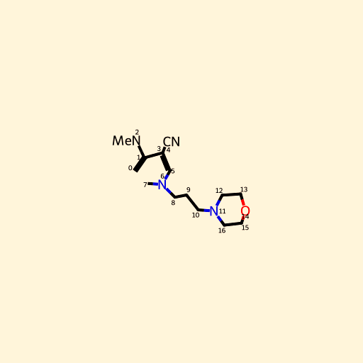 C=C(NC)/C(C#N)=C\N(C)CCCN1CCOCC1